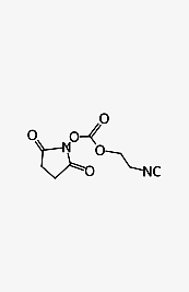 [C-]#[N+]CCOC(=O)ON1C(=O)CCC1=O